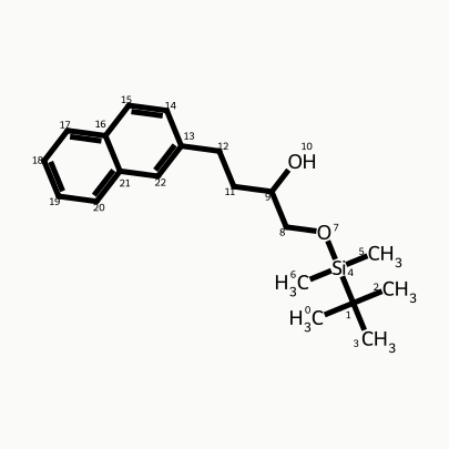 CC(C)(C)[Si](C)(C)OCC(O)CCc1ccc2ccccc2c1